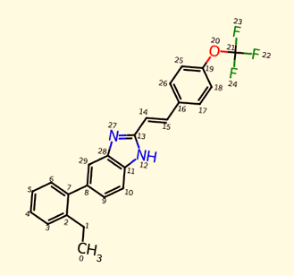 CCc1ccccc1-c1ccc2[nH]c(/C=C/c3ccc(OC(F)(F)F)cc3)nc2c1